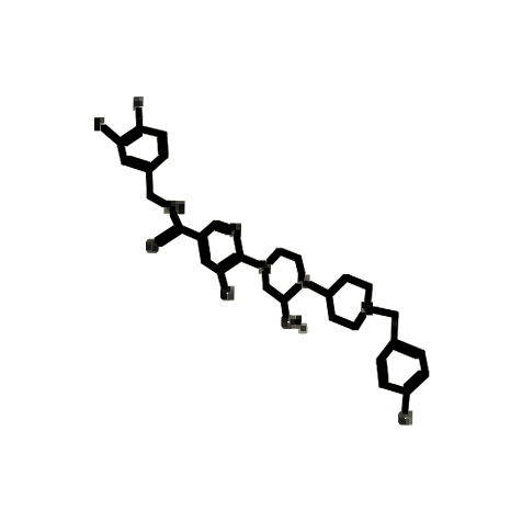 CC1CN(c2ncc(C(=O)NCc3ccc(F)c(F)c3)cc2Cl)CCN1C1CCN(Cc2ccc(Cl)cc2)CC1